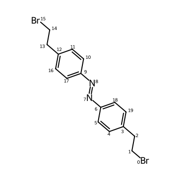 BrCCc1ccc(/N=N/c2ccc(CCBr)cc2)cc1